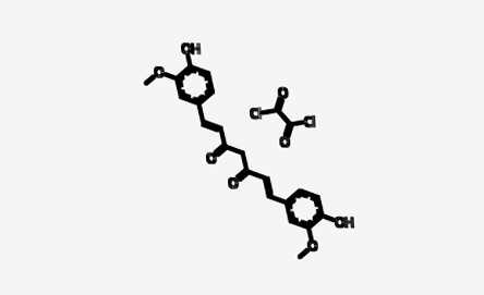 COc1cc(/C=C/C(=O)CC(=O)/C=C/c2ccc(O)c(OC)c2)ccc1O.O=C(Cl)C(=O)Cl